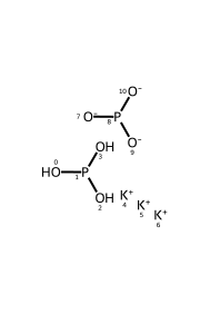 OP(O)O.[K+].[K+].[K+].[O-]P([O-])[O-]